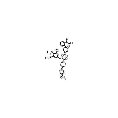 C#Cc1cc(C[C@@H](OC(=O)N2CCC3(CC2)OC(=O)Nc2ccccc23)C(=O)N2CCC(N3CC4CC3CN4C)CC2)cc(Cl)c1N